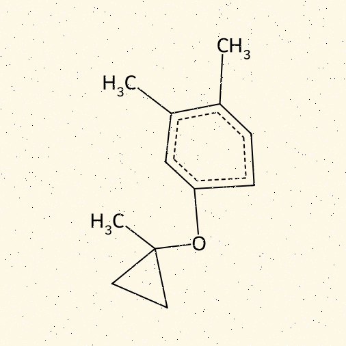 Cc1ccc(OC2(C)CC2)cc1C